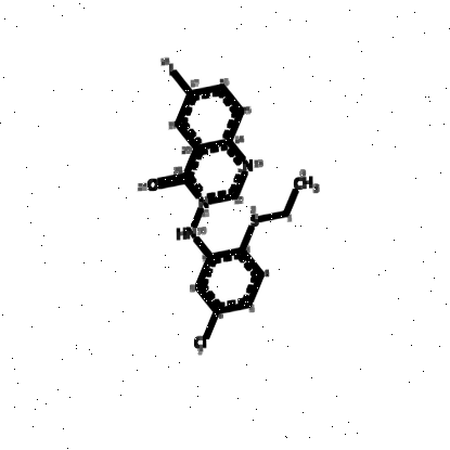 CCSc1ccc(Cl)cc1Nn1cnc2ccc(I)cc2c1=O